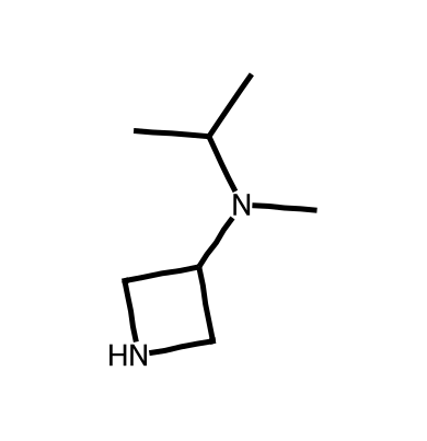 CC(C)N(C)C1CNC1